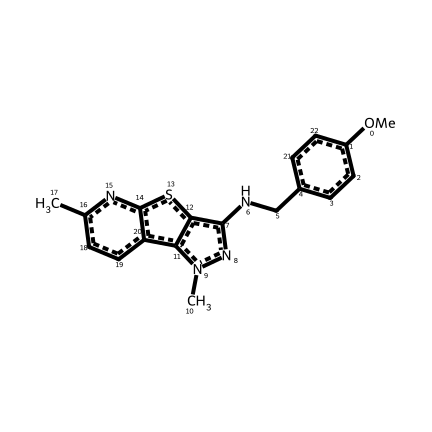 COc1ccc(CNc2nn(C)c3c2sc2nc(C)ccc23)cc1